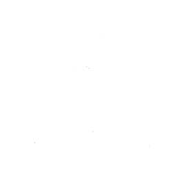 O=C(O)CCNC(=O)c1ccc(C2(c3ccc(OCc4cccc(F)c4)cc3)CCC(C(F)(F)F)CC2)cc1